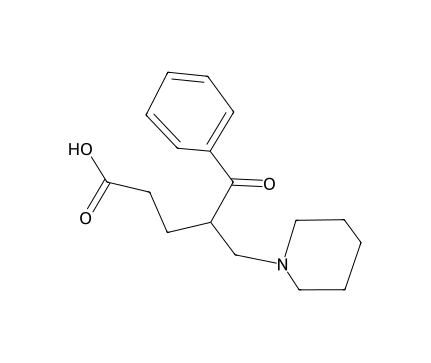 O=C(O)CCC(CN1CCCCC1)C(=O)c1ccccc1